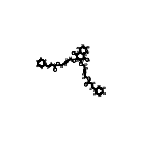 O=C(C=Cc1ccccc1)OCC#CCOC1=C(OCC#CCOC(=O)C=Cc2ccccc2)C(=O)c2ncccc2C1=O